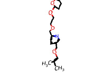 CC(C)=COCc1ccc(COCCOC2CCCCO2)nc1